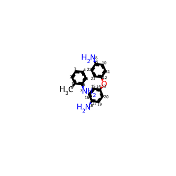 Cc1ccccc1N.Nc1ccc(Oc2ccc(N)cc2)cc1